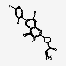 C=CC(=O)N1CCC(c2nc3cc(Cl)c(-c4ccc(F)cc4F)cc3c(=O)[nH]2)C1